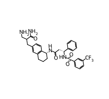 NCC(Cc1ccc2c(c1)CCC[C@H]2NC(=O)C[C@@H](NS(=O)(=O)c1cccc(C(F)(F)F)c1)c1ccccc1)C(N)=O